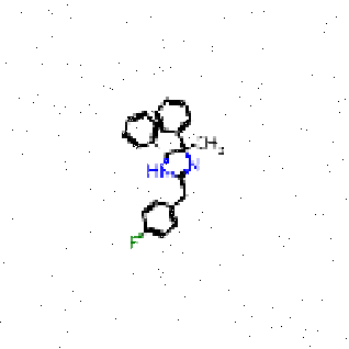 C[C@@]1(c2ccccc2)N=C(Cc2ccc(F)cc2)N[C@@H]1c1ccccc1